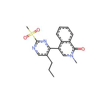 CCCc1cnc(S(C)(=O)=O)nc1-c1cn(C)c(=O)c2ccccc12